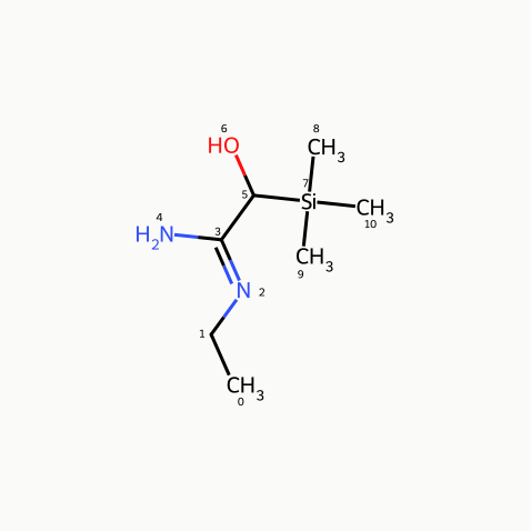 CCN=C(N)C(O)[Si](C)(C)C